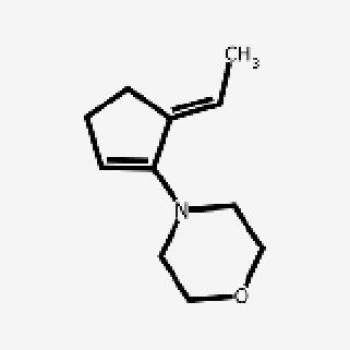 CC=C1CCC=C1N1CCOCC1